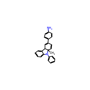 CC12C=CC(c3ccc(N)cc3)=CC1c1ccccc1N2c1ccccc1